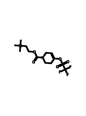 C[Si](C)(C)CCOC(=O)N1CC=C(OS(=O)(=O)C(F)(F)F)CC1